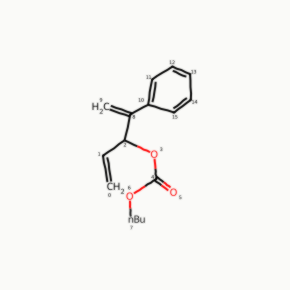 C=CC(OC(=O)OCCCC)C(=C)c1ccccc1